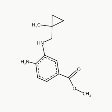 COC(=O)c1ccc(N)c(NCC2(C)CC2)c1